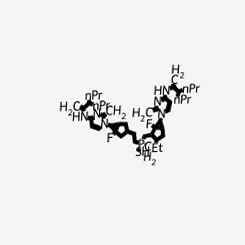 C=C(NC1=NC(=C)N(C2C3CC(CCP(=C)(S)CC4C(CC)CC5C(N6C=CC(NC(=C)C(CCC)CCC)=NC6=C)C45F)CC32F)C=C1)C(CCC)CCC